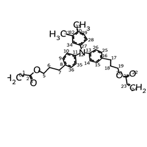 C=CC(=O)OCCCc1ccc(N(c2ccc(CCCOC(=O)C=C)cc2)c2ccc(C)c(C)c2)cc1